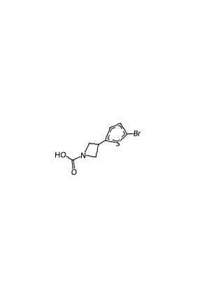 O=C(O)N1CC(c2ccc(Br)s2)C1